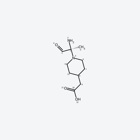 C[C@@](N)(C=O)N1CCC(CC(=O)O)CC1